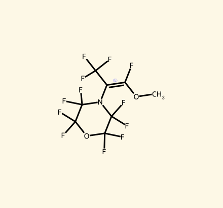 CO/C(F)=C(\N1C(F)(F)C(F)(F)OC(F)(F)C1(F)F)C(F)(F)F